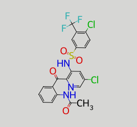 CC(=O)Nc1ccccc1C(=O)c1ncc(Cl)cc1NS(=O)(=O)c1ccc(Cl)c(C(F)(F)F)c1